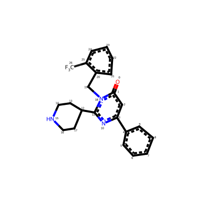 O=c1cc(-c2ccccc2)nc(C2CCNCC2)n1Cc1ccccc1C(F)(F)F